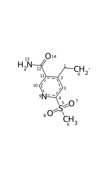 [CH2]Cc1cc(S(C)(=O)=O)ncc1C(N)=O